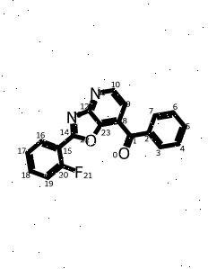 O=C(c1ccccc1)c1ccnc2nc(-c3ccccc3F)oc12